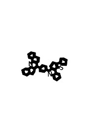 c1ccc2c(c1)ccc1c(-c3ccc(-c4nc5ccccc5c5c4ccc4c6ccccc6sc45)cc3)c3ccc4ccccc4c3nc12